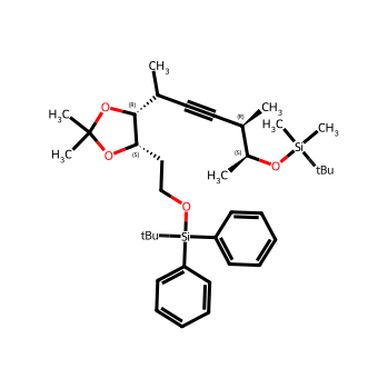 CC(C#C[C@@H](C)[C@H](C)O[Si](C)(C)C(C)(C)C)[C@H]1OC(C)(C)O[C@H]1CCO[Si](c1ccccc1)(c1ccccc1)C(C)(C)C